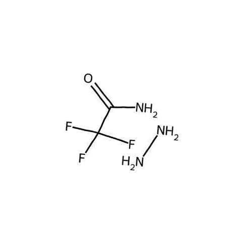 NC(=O)C(F)(F)F.NN